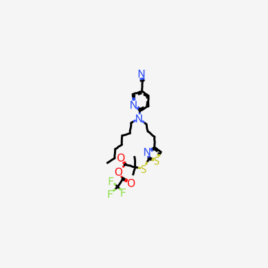 CCCCCCCN(CCCc1csc(SC(C)(C)C(=O)OC(=O)C(F)(F)F)n1)c1ccc(C#N)cn1